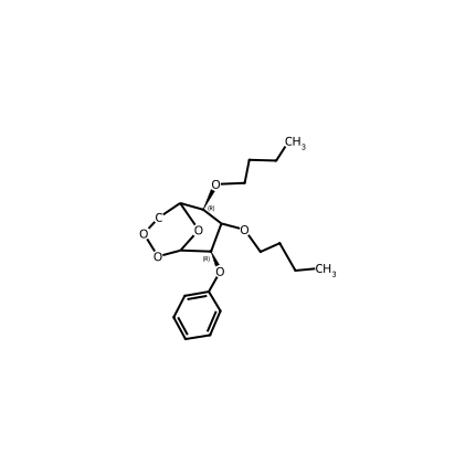 CCCCOC1[C@H](OCCCC)C2COOC(O2)[C@@H]1Oc1ccccc1